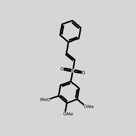 COc1cc(S(=O)(=O)/C=C/c2ccccc2)cc(OC)c1OC